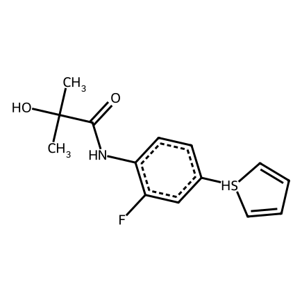 CC(C)(O)C(=O)Nc1ccc([SH]2C=CC=C2)cc1F